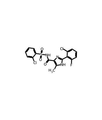 Cc1[nH]c(-c2c(F)cccc2Cl)nc1C(=O)NS(=O)(=O)c1ccccc1Cl